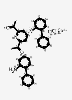 CC(=O)c1cccc(C(C)=O)n1.Nc1ccccc1-c1ccccc1.Nc1ccccc1-c1ccccc1.[Cl-].[Cl-].[Co+2]